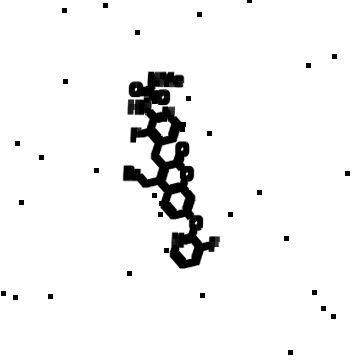 CNS(=O)(=O)Nc1nccc(Cc2c(CBr)c3ccc(Oc4ncccc4F)cc3oc2=O)c1F